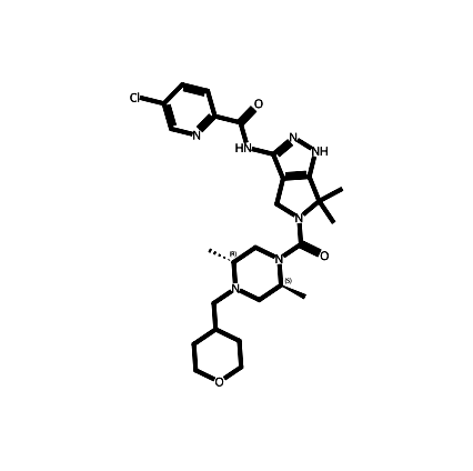 C[C@@H]1CN(C(=O)N2Cc3c(NC(=O)c4ccc(Cl)cn4)n[nH]c3C2(C)C)[C@@H](C)CN1CC1CCOCC1